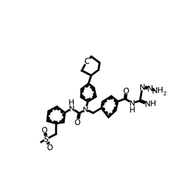 CS(=O)(=O)Cc1cccc(NC(=O)N(Cc2ccc(C(=O)NC(=N)/N=N\N)cc2)c2ccc(C3CCCCC3)cc2)c1